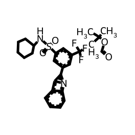 CC(C)(C)OC=O.O=S(=O)(NC1CCCCC1)c1cc(-c2c3c4ccccc4n2-3)cc(C(F)(F)F)c1